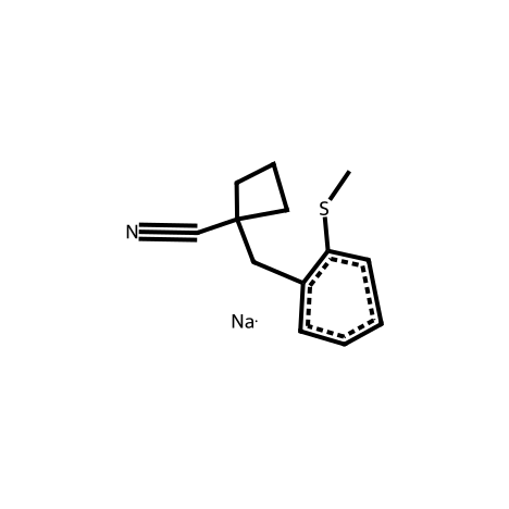 CSc1ccccc1CC1(C#N)CCC1.[Na]